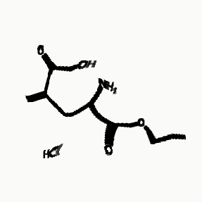 C=C(CC(N)C(=O)OCC)C(=O)O.Cl